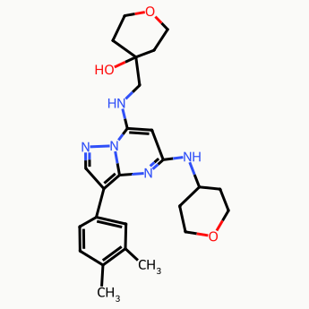 Cc1ccc(-c2cnn3c(NCC4(O)CCOCC4)cc(NC4CCOCC4)nc23)cc1C